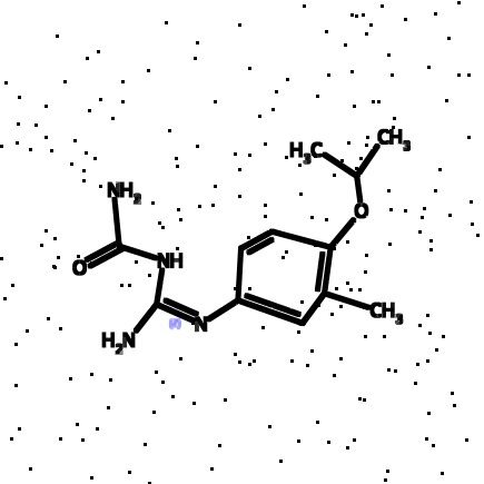 Cc1cc(/N=C(/N)NC(N)=O)ccc1OC(C)C